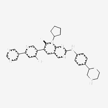 Cc1cc(-c2cncnc2)ncc1-c1cc2cnc(Nc3ccc(C4CNCCS4)cc3)nc2n(C2CCCC2)c1=O